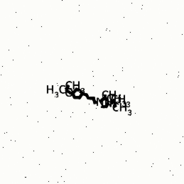 CC(C)OC1CCC(CCCCN2CCN(C(C)C)C(C)(C)C2)CC1